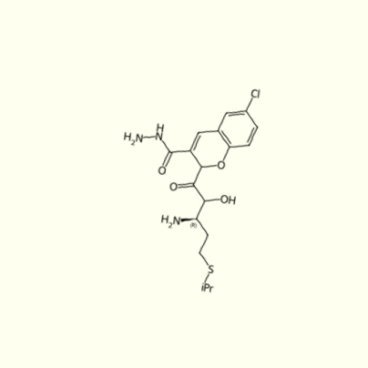 CC(C)SCC[C@@H](N)C(O)C(=O)C1Oc2ccc(Cl)cc2C=C1C(=O)NN